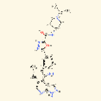 CC(C)c1c(-c2ccnc3[nH]ncc23)[nH]c2ccc(-c3nnc(C(=O)NC4CCN(C(C)C)CC4)o3)cc12